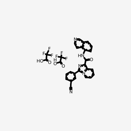 N#Cc1cccc(-c2nc(C(=O)Nc3cccc4cnccc34)c3ccccn23)c1.O=C(O)C(F)(F)F.O=C(O)C(F)(F)F